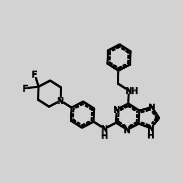 FC1(F)CCN(c2ccc(Nc3nc(NCc4ccccc4)c4nc[nH]c4n3)cc2)CC1